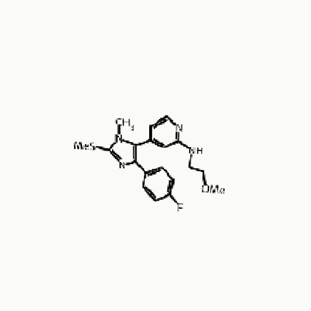 COCCNc1cc(-c2c(-c3ccc(F)cc3)nc(SC)n2C)ccn1